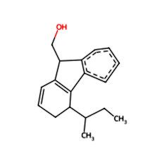 CCC(C)C1CC=CC2=C1c1ccccc1C2CO